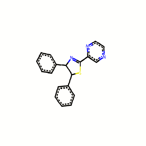 c1ccc(C2N=C(c3cnccn3)SC2c2ccccc2)cc1